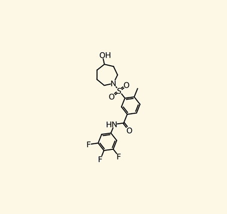 Cc1ccc(C(=O)Nc2cc(F)c(F)c(F)c2)cc1S(=O)(=O)N1CCCC(O)CC1